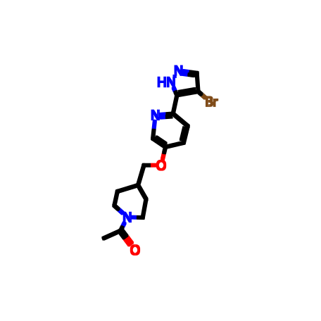 CC(=O)N1CCC(COc2ccc(-c3[nH]ncc3Br)nc2)CC1